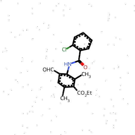 CCOC(=O)c1c(C)cc(C=O)c(NC(=O)c2ccccc2Cl)c1C